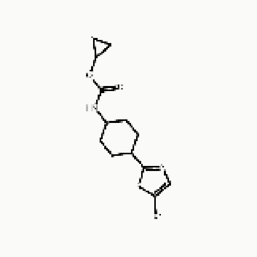 O=C(NC1CCC(c2ncc(Br)s2)CC1)OC1CC1